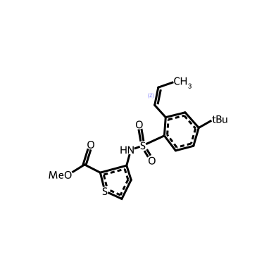 C/C=C\c1cc(C(C)(C)C)ccc1S(=O)(=O)Nc1ccsc1C(=O)OC